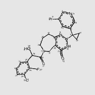 CC(C)c1cncc(C2(c3nc4c(c(=O)[nH]3)CN(C(=O)C(O)c3cccc(Cl)c3F)CCC4)CC2)c1